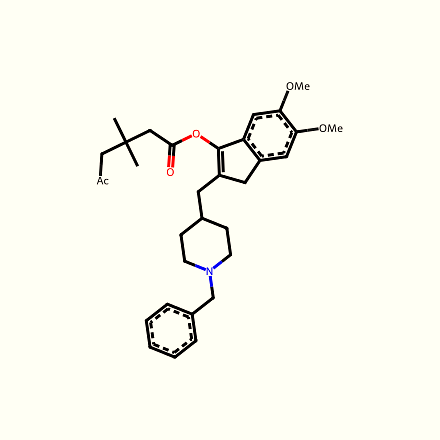 COc1cc2c(cc1OC)C(OC(=O)CC(C)(C)CC(C)=O)=C(CC1CCN(Cc3ccccc3)CC1)C2